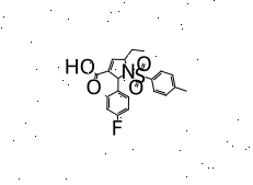 CCC1C=C(C(=O)O)C(c2ccc(F)cc2)N1S(=O)(=O)c1ccc(C)cc1